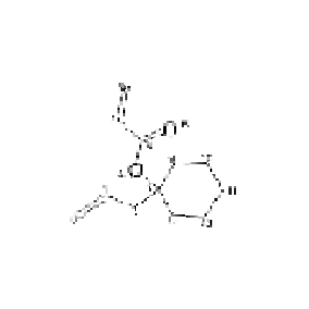 C=CCC1(OC(=O)C=C)CCCCC1